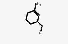 NC1=C[C@@H](CCl)CCC1